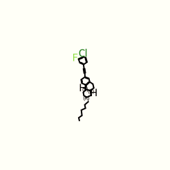 CCCCCCC[C@@H]1CC[C@@H]2c3ccc(C#Cc4ccc(Cl)c(F)c4)cc3CC[C@@H]2C1